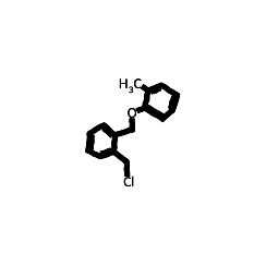 Cc1ccccc1OCc1ccccc1CCl